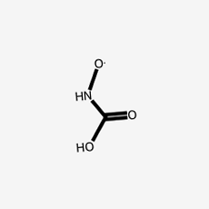 [O]NC(=O)O